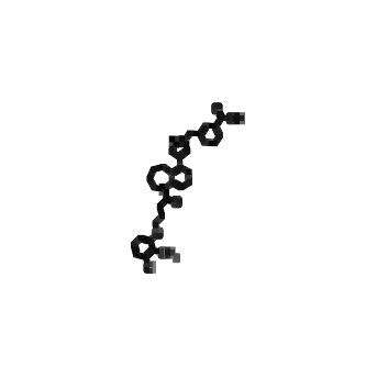 Cc1c(Cl)cccc1OCCCC(=O)N1CCCCc2c(-c3cnn(Cc4cccc(C(=O)O)c4)c3)cccc21